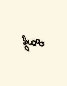 COc1ccc(-c2nc(Cc3ccc(Oc4ccccc4)cc3)c(-c3ccccc3)o2)cc1